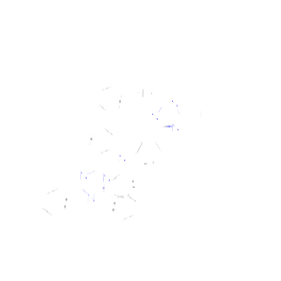 Cc1nc(C)nc(-c2ccc3c4ccccc4n(-c4cc(-c5ccc(F)cc5F)ccc4-c4nc(-c5ccccc5)nc(-c5ccccc5)n4)c3c2)n1